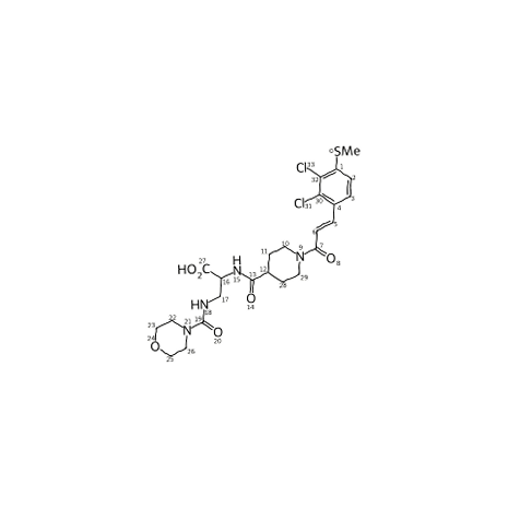 CSc1ccc(C=CC(=O)N2CCC(C(=O)NC(CNC(=O)N3CCOCC3)C(=O)O)CC2)c(Cl)c1Cl